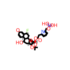 CC1(C)O[C@@H]2CC3C4C[C@H](F)C5=CC(=O)C=C[C@]5(C)C4[C@@H](O)C[C@]3(C)[C@]2(C(=O)COC(=O)Cc2cccc(CON(O)O)n2)O1